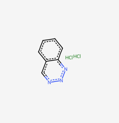 Cl.Cl.c1ccc2nnncc2c1